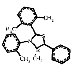 Cc1ccccc1N1C(c2c(C)cccc2C)SC(c2ccccc2)[C@@H]1C